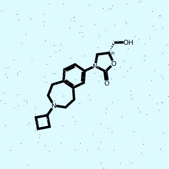 O=C1O[C@@H](CO)CN1c1ccc2c(c1)CCN(C1CCC1)CC2